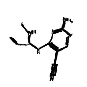 CC[C@H](NI)Nc1nc(N)ncc1C#N